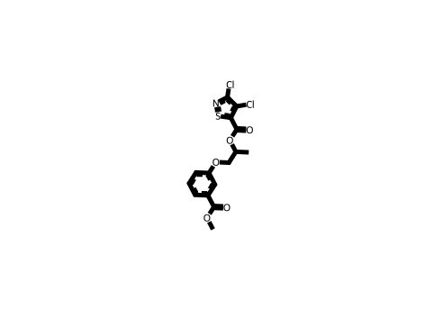 COC(=O)c1cccc(OCC(C)OC(=O)c2snc(Cl)c2Cl)c1